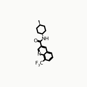 C[C@H]1CC[C@H](NC(=O)c2cnc3c(C(F)(F)F)cccc3c2)CC1